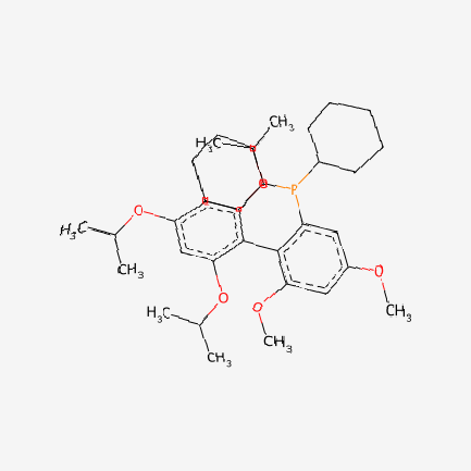 COc1cc(OC)c(-c2c(OC(C)C)cc(OC(C)C)cc2OC(C)C)c(P(C2CCCCC2)C2CCCCC2)c1